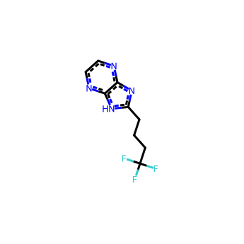 FC(F)(F)CCCc1nc2nccnc2[nH]1